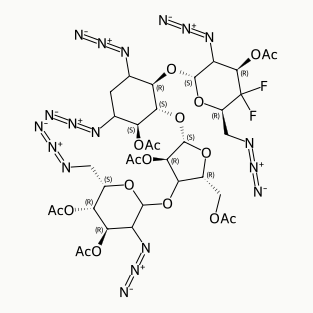 CC(=O)OC[C@H]1O[C@@H](O[C@H]2[C@H](O[C@H]3O[C@H](CN=[N+]=[N-])C(F)(F)[C@H](OC(C)=O)C3N=[N+]=[N-])C(N=[N+]=[N-])CC(N=[N+]=[N-])[C@@H]2OC(C)=O)[C@H](OC(C)=O)C1OC1O[C@@H](CN=[N+]=[N-])[C@@H](OC(C)=O)[C@H](OC(C)=O)C1N=[N+]=[N-]